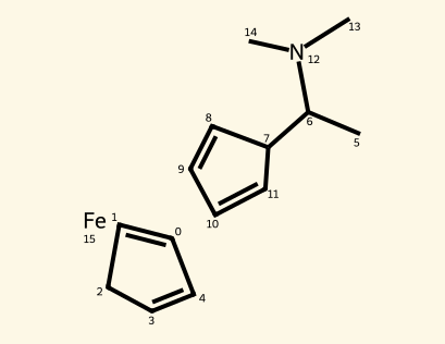 C1=CCC=C1.CC(C1C=CC=C1)N(C)C.[Fe]